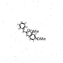 COc1ccc(CC(=O)Cc2ccccc2)c(OC)c1